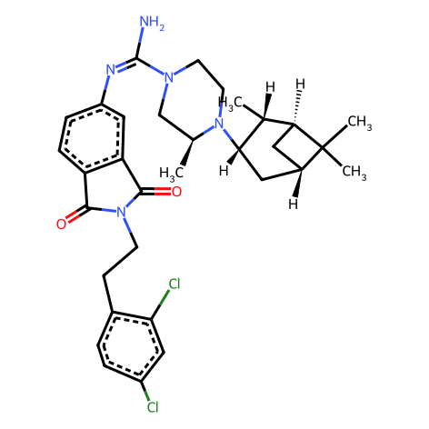 C[C@H]1[C@@H](N2CCN(C(N)=Nc3ccc4c(c3)C(=O)N(CCc3ccc(Cl)cc3Cl)C4=O)C[C@@H]2C)C[C@@H]2C[C@@H]1C2(C)C